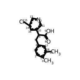 Cc1ccc(CC(C(=O)O)c2cncc(Cl)c2)cc1C